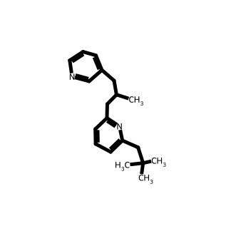 CC(Cc1cccnc1)Cc1cccc(CC(C)(C)C)n1